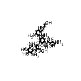 NC[C@@H]1O[C@H](O[C@H]2[C@@H](O)[C@H](O[C@@H]3[C@@H](O)[C@H](NC(=O)C(O)[C@@H](F)CN)C[C@H](N)[C@H]3O[C@H]3OC(CNCCO)=CC[C@H]3N)O[C@@H]2CO)[C@H](N)[C@@H](O)[C@@H]1O